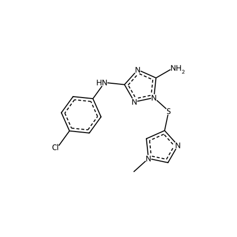 Cn1cnc(Sn2nc(Nc3ccc(Cl)cc3)nc2N)c1